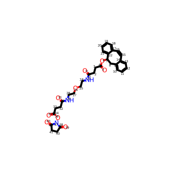 O=C(CCC(=O)OC1Cc2ccccc2C#Cc2ccccc21)NCCOCCNC(=O)CCC(=O)ON1C(=O)CCC1=O